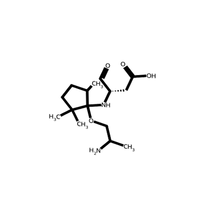 CC(N)COC1(N[C@H](C=O)CC(=O)O)C(C)CCC1(C)C